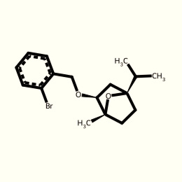 CC(C)[C@@]12CC[C@@](C)(O1)[C@@H](OCc1ccccc1Br)C2